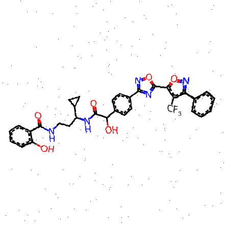 O=C(NCCC(NC(=O)C(O)c1ccc(-c2noc(-c3onc(-c4ccccc4)c3C(F)(F)F)n2)cc1)C1CC1)c1ccccc1O